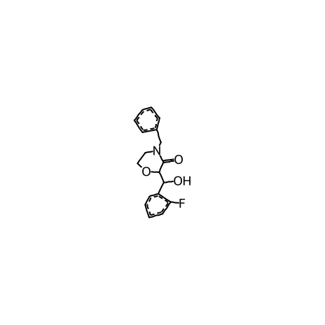 O=C1C(C(O)c2ccccc2F)OCCN1Cc1ccccc1